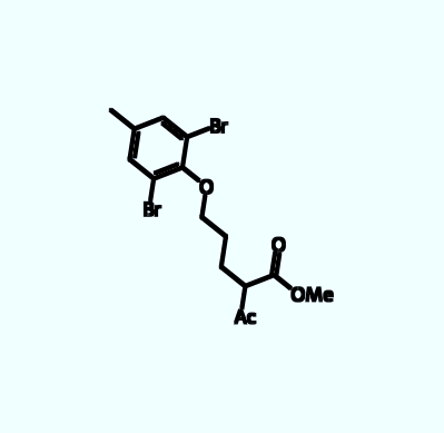 COC(=O)C(CCCOc1c(Br)cc(C)cc1Br)C(C)=O